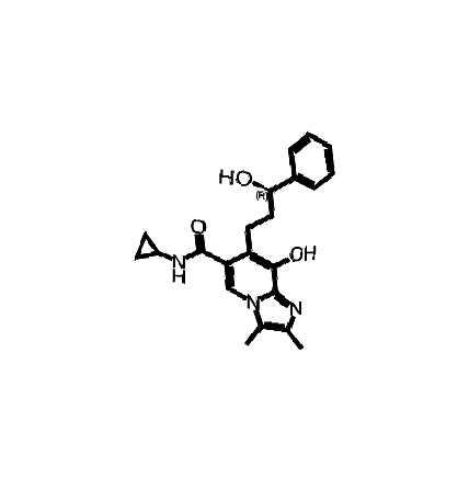 Cc1nc2c(O)c(CC[C@@H](O)c3ccccc3)c(C(=O)NC3CC3)cn2c1C